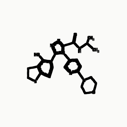 CC(C)NC(=O)c1nnc(-c2ccc3c(c2O)CCS3)n1-c1ccc(N2CCOCC2)nc1